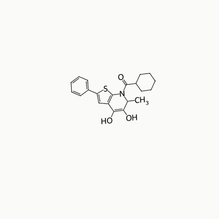 CC1C(O)=C(O)c2cc(-c3ccccc3)sc2N1C(=O)C1CCCCC1